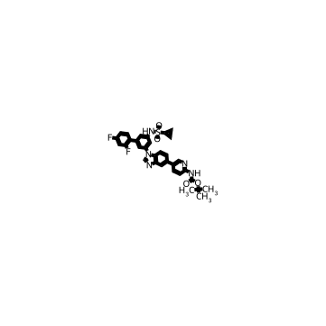 CC(C)(C)OC(=O)Nc1ccc(-c2ccc3c(c2)ncn3-c2cc(NS(=O)(=O)C3CC3)cc(-c3ccc(F)cc3F)c2)cn1